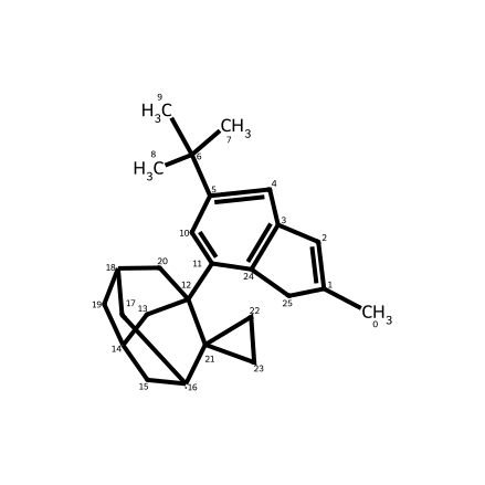 CC1=Cc2cc(C(C)(C)C)cc(C34CC5C[C](CC(C5)C3)C43CC3)c2C1